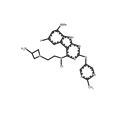 CCN(CCN1CC(N)C1)c1nc(Oc2cnc(C)nc2)nc2[nH]c3c(NC)cc(F)cc3c12